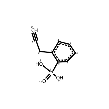 C#CCc1ccccc1P(=O)(O)O